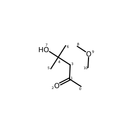 CC(=O)CC(C)(C)O.COC